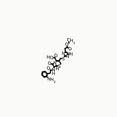 CCOC(=O)Cc1nc(SCC2=C(C(=O)O)N3C(=O)C(NC(=O)Cc4ccccc4N)[C@H]3SC2)n[nH]1